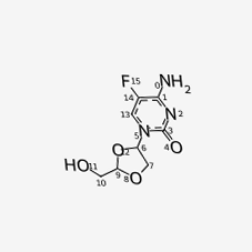 Nc1nc(=O)n(C2COC(CO)O2)cc1F